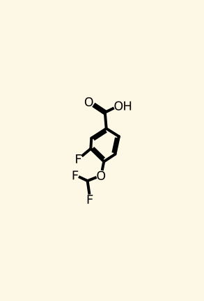 O=C(O)c1ccc(OC(F)F)c(F)c1